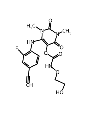 C#Cc1ccc(Nc2c(OC(=O)NOCCO)c(=O)n(C)c(=O)n2C)c(F)c1